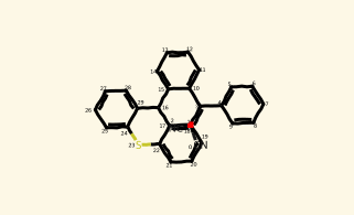 N#CC(C#N)=C(c1ccccc1)c1ccccc1C1c2ccccc2Sc2ccccc21